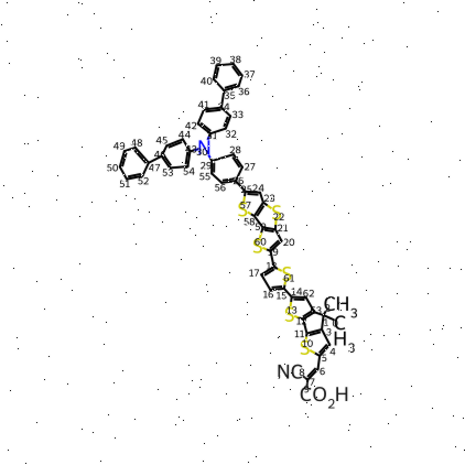 CC1(C)c2cc(/C=C(\C#N)C(=O)O)sc2-c2sc(-c3ccc(-c4cc5sc6cc(-c7ccc(N(c8ccc(-c9ccccc9)cc8)c8ccc(-c9ccccc9)cc8)cc7)sc6c5s4)s3)cc21